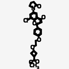 COC(=O)C1CC(OCCOc2ccc(-c3cc(=O)c4cc(N5CCCC5=O)cc(Cl)c4o3)cc2)C1